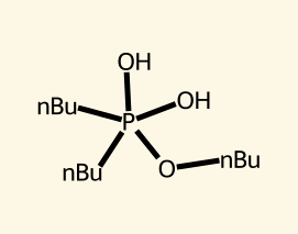 CCCCOP(O)(O)(CCCC)CCCC